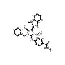 CCNC(=O)c1ccc(/N=C2\S/C(=C3\Sc4ccccc4N3C)C(=O)N2Cc2ccccc2)c(NCC)c1